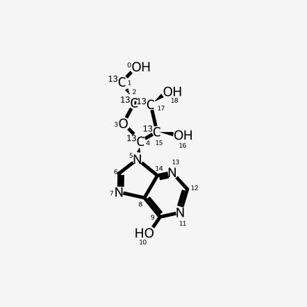 O[13CH2][13C@H]1O[13C@@H](n2cnc3c(O)ncnc32)[13C@H](O)[13C@@H]1O